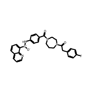 O=C(Cc1ccc(F)cc1)N1CCCN(C(=O)c2ccc(N[S+]([O-])c3cccc4cccnc34)cc2)CC1